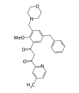 COc1c(CN2CCOCC2)cc(Cc2ccccc2)cc1C(=O)CC(=O)c1cc(C)ccn1